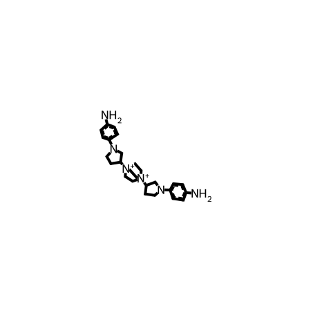 Nc1ccc(N2CCC([N+]34CC[N+](C5CCN(c6ccc(N)cc6)C5)(CC3)CC4)C2)cc1